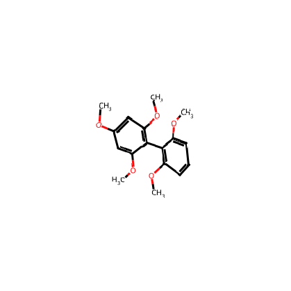 COc1cc(OC)c(-c2c(OC)cccc2OC)c(OC)c1